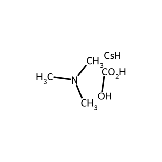 CN(C)C.O=C(O)O.[CsH]